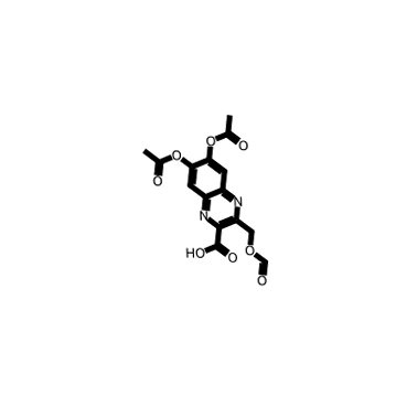 CC(=O)Oc1cc2nc(COC=O)c(C(=O)O)nc2cc1OC(C)=O